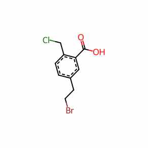 O=C(O)c1cc(CCBr)ccc1CCl